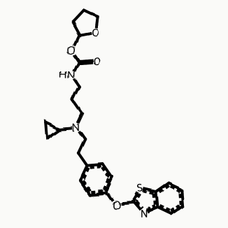 O=C(NCCCN(CCc1ccc(Oc2nc3ccccc3s2)cc1)C1CC1)OC1CCCO1